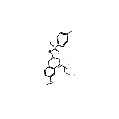 COc1ccc2c(c1)[C@H]([C@H](C)CO)C[C@H](NS(=O)(=O)c1ccc(C)cc1)C2